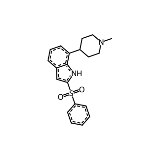 CN1CCC(c2cccc3cc(S(=O)(=O)c4ccccc4)[nH]c23)CC1